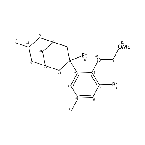 CCC1(c2cc(C)cc(Br)c2OCOC)CC2CC(C)CC(C2)C1